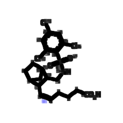 O=C(O)CCC/C=C\C1C2CCC(C2)C1CNS(=O)(=O)c1c(Cl)cc(Cl)cc1Cl